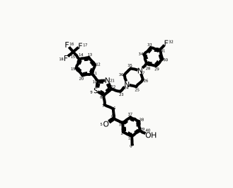 Cc1cc(C(=O)CCc2sc(-c3ccc(C(F)(F)F)cc3)nc2CN2CCN(c3ccc(F)cc3)CC2)ccc1O